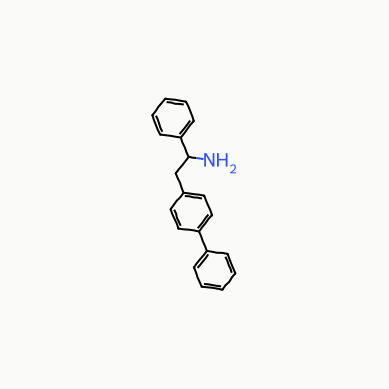 NC(Cc1ccc(-c2ccccc2)cc1)c1ccccc1